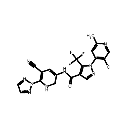 Cc1cc(-n2ncc(C(=O)NC3=CC(C#N)=C(n4nccn4)NC3)c2C(F)(F)F)c(Cl)cn1